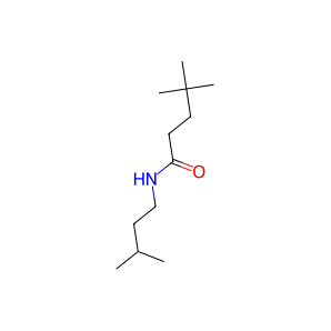 CC(C)CCNC(=O)CCC(C)(C)C